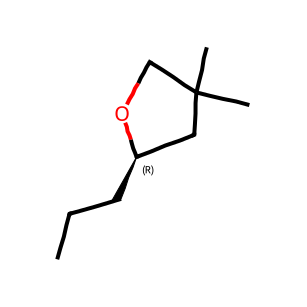 CCC[C@@H]1CC(C)(C)CO1